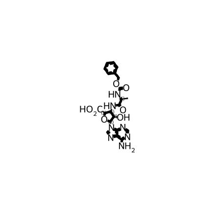 C[C@H](NC(=O)OCc1ccccc1)C(=O)N[C@H]1[C@@H](O)[C@H](n2cnc3c(N)ncnc32)O[C@@H]1C(=O)O